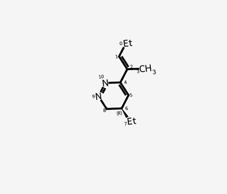 CCC=C(C)C1=C[C@@H](CC)CN=N1